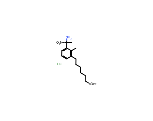 CCCCCCCCCCCCCCCCc1cccc(C(C)(N)[N+](=O)[O-])c1C.Cl